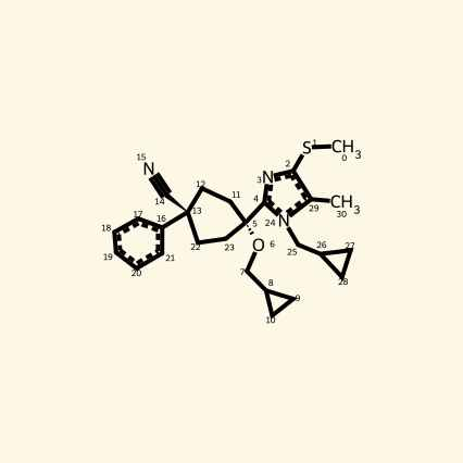 CSc1nc([C@]2(OCC3CC3)CC[C@@](C#N)(c3ccccc3)CC2)n(CC2CC2)c1C